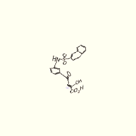 O=C(O)/C(O)=C/C(=O)c1cccc(NS(=O)(=O)c2ccc3ccccc3c2)c1